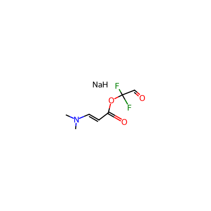 CN(C)C=CC(=O)OC(F)(F)C=O.[NaH]